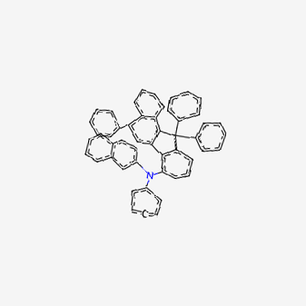 c1ccc(-c2cc3c(c4ccccc24)C(c2ccccc2)(c2ccccc2)c2cccc(N(c4ccccc4)c4ccc5ccccc5c4)c2-3)cc1